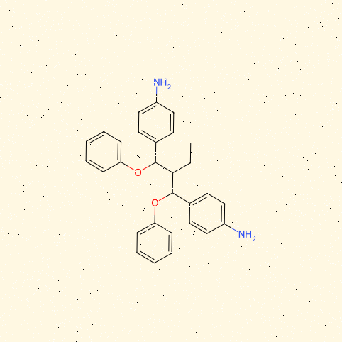 CCC(C(Oc1ccccc1)c1ccc(N)cc1)C(Oc1ccccc1)c1ccc(N)cc1